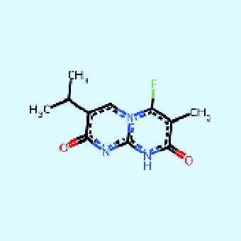 Cc1c(F)n2cc(C(C)C)c(=O)nc2[nH]c1=O